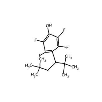 CC(C)(C)CC(c1c(F)c(F)c(O)c(F)c1F)C(C)(C)C